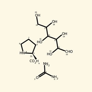 NC(N)=O.O=C(O)[C@@H]1CCCN1.O=CC(O)C(O)C(O)C(O)CO